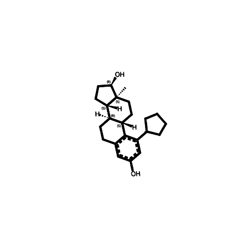 C[C@]12CC[C@@H]3c4c(cc(O)cc4[C]4CCCC4)CC[C@H]3[C@@H]1CC[C@H]2O